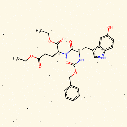 CCOC(=O)CC[C@H](NC(=O)[C@H](Cc1c[nH]c2ccc(O)cc12)NC(=O)OCc1ccccc1)C(=O)OCC